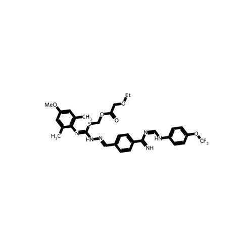 CCOCC(=O)OCS/C(=N\c1c(C)cc(OC)cc1C)N/N=C/c1ccc(C(=N)/N=C\Nc2ccc(OC(F)(F)F)cc2)cc1